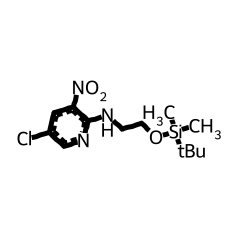 CC(C)(C)[Si](C)(C)OCCNc1ncc(Cl)cc1[N+](=O)[O-]